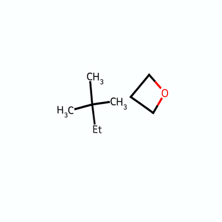 C1COC1.CCC(C)(C)C